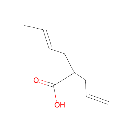 C=CCC(C/C=C/C)C(=O)O